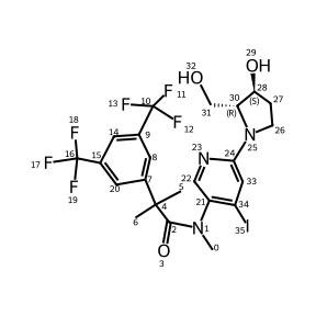 CN(C(=O)C(C)(C)c1cc(C(F)(F)F)cc(C(F)(F)F)c1)c1cnc(N2CC[C@H](O)[C@H]2CO)cc1I